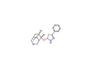 c1ccc(C2=NNC(O[C@@H]3C4CC5C[C@H]3C[N@](C5)C4)S2)cc1